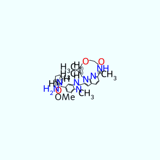 COc1cc(C(=O)N2[C@H]3CC[C@@H]2[C@H](N)C3)cc2nc(-c3cc4ccc5nc4n3C[C@H]3[C@@H](COCCC(=O)N[C@@H]5C)C3(C)C)n(C)c12